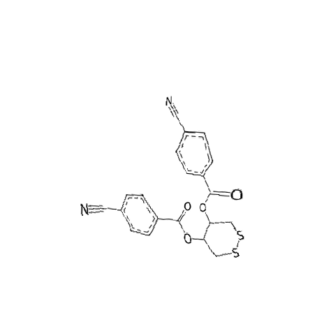 N#Cc1ccc(C(=O)OC2CSSCC2OC(=O)c2ccc(C#N)cc2)cc1